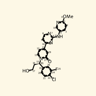 COc1ccc(Nc2nccc(-c3ccn([C@H](CCO)c4ccc(Cl)c(F)c4)c(=O)c3)n2)cn1